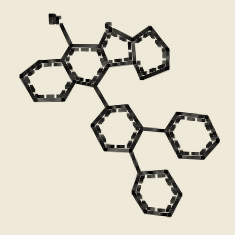 Brc1c2ccccc2c(-c2ccc(-c3ccccc3)c(-c3ccccc3)c2)c2c1sc1ccccc12